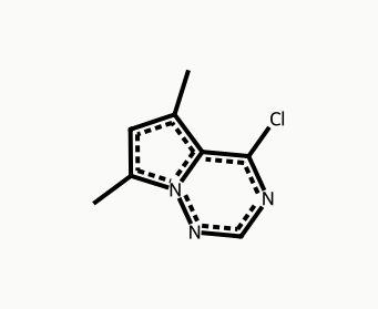 Cc1cc(C)n2ncnc(Cl)c12